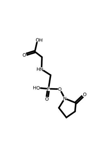 O=C(O)CNCP(=O)(O)ON1CCCC1=O